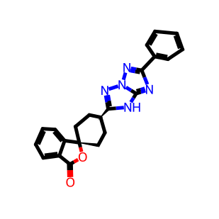 O=C1O[C@]2(CC[C@H](c3nn4nc(-c5ccccc5)nc4[nH]3)CC2)c2ccccc21